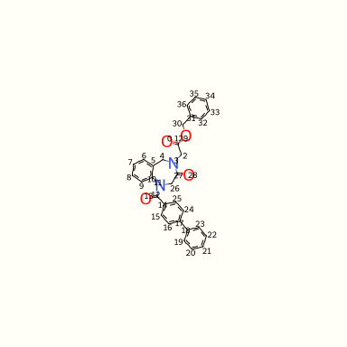 O=C(CN1Cc2ccccc2N(C(=O)c2ccc(-c3ccccc3)cc2)CC1=O)OCc1ccccc1